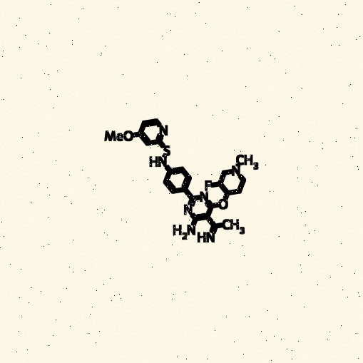 COc1ccnc(SNc2ccc(-c3nc(N)c(C(C)=N)c(OC4CCN(C)CC4F)n3)cc2)c1